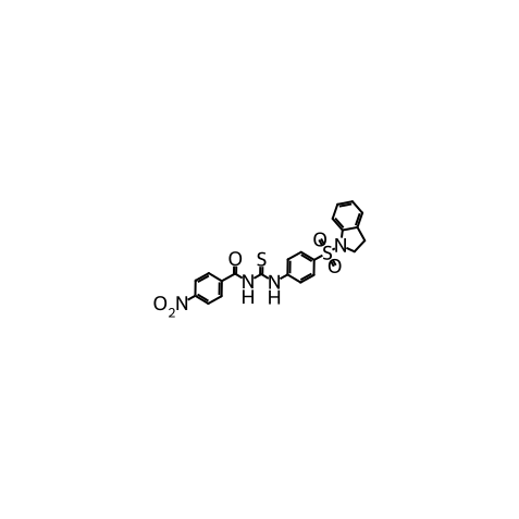 O=C(NC(=S)Nc1ccc(S(=O)(=O)N2CCc3ccccc32)cc1)c1ccc([N+](=O)[O-])cc1